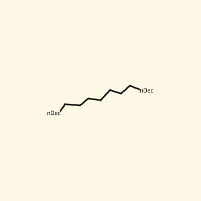 CCCCCCCCCCCCC[CH]CCCCCCCCCCCCC